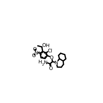 CC(O)c1c([N+](=O)[O-])ccc(OC(C(N)=O)N2CCCC3CCCCC32)c1Cl